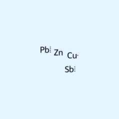 [Cu].[Pb].[Sb].[Zn]